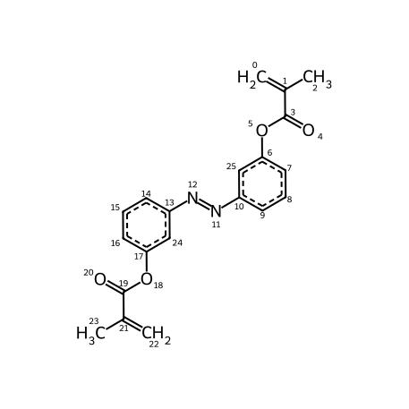 C=C(C)C(=O)Oc1cccc(N=Nc2cccc(OC(=O)C(=C)C)c2)c1